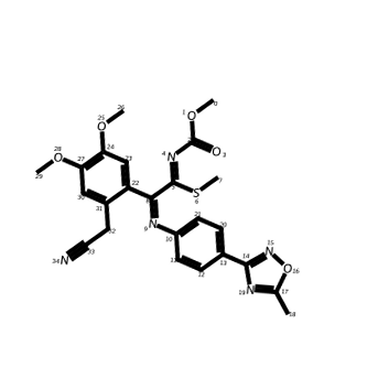 COC(=O)N=C(SC)C(=Nc1ccc(-c2noc(C)n2)cc1)c1cc(OC)c(OC)cc1CC#N